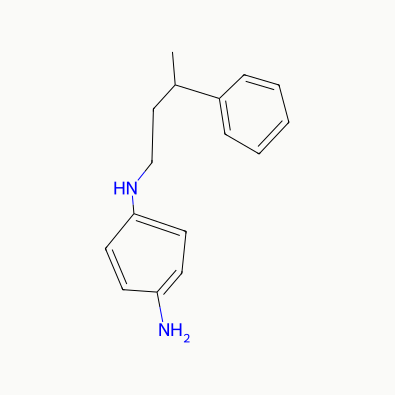 CC(CCNc1ccc(N)cc1)c1ccccc1